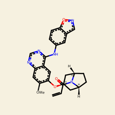 C=CC(=O)N1[C@@H]2CC[C@H]1C[C@H](Oc1cc3c(Nc4ccc5oncc5c4)ncnc3cc1OC)C2